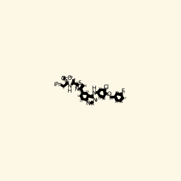 CC(C)CC(NC(C)c1nc(-c2ccc3ncnc(Nc4ccc(OCc5cccc(F)c5)c(Cl)c4)c3c2)cs1)=S(=O)=O